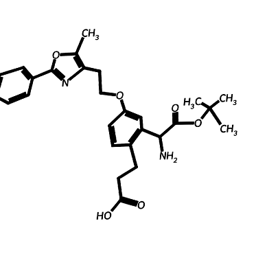 Cc1oc(-c2ccccc2)nc1CCOc1ccc(CCC(=O)O)c(C(N)C(=O)OC(C)(C)C)c1